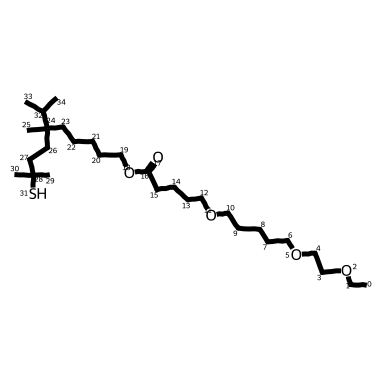 CCOCCOCCCCCOCCCCC(=O)OCCCCCC(C)(CCC(C)(C)S)C(C)C